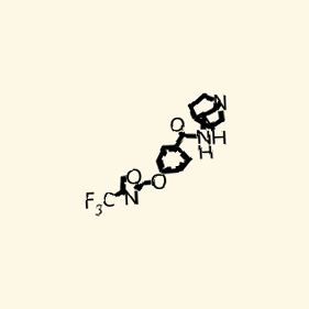 O=C(N[C@H]1CN2CCC1CC2)c1ccc(Oc2nc(C(F)(F)F)co2)cc1